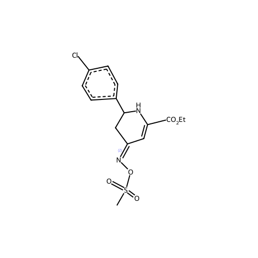 CCOC(=O)C1=C/C(=N\OS(C)(=O)=O)CC(c2ccc(Cl)cc2)N1